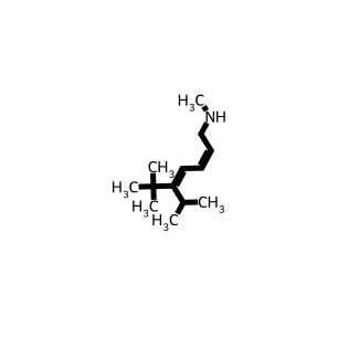 CNC/C=C\C=C(/C(C)C)C(C)(C)C